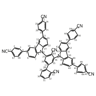 N#Cc1ccc(-c2ccc3c(c2)c2cc(-c4ccc(C#N)cc4)ccc2n3-c2cc(-c3ccccc3C#N)cc(-n3c4ccc(-c5ccc(C#N)cc5)cc4c4cc(-c5ccc(C#N)cc5)ccc43)c2C#N)cc1